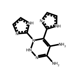 NC1=NNN(c2ncc[nH]2)C(c2ncc[nH]2)=C1N